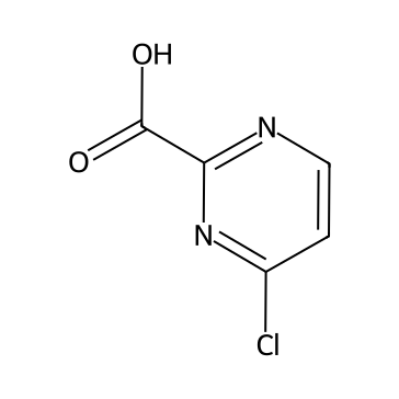 O=C(O)c1nccc(Cl)n1